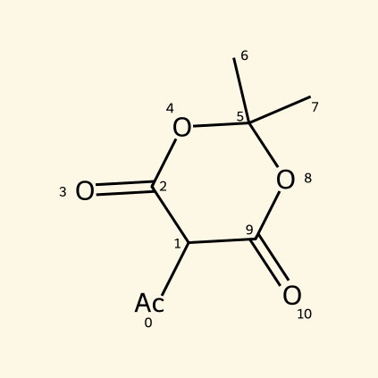 CC(=O)C1C(=O)OC(C)(C)OC1=O